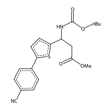 CCCCOC(=O)NC(CC(=O)OC)c1ccc(-c2ccc(C#N)cc2)s1